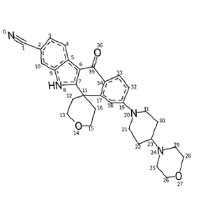 N#Cc1ccc2c3c([nH]c2c1)C1(CCOCC1)c1cc(N2CCC(N4CCOCC4)CC2)ccc1C3=O